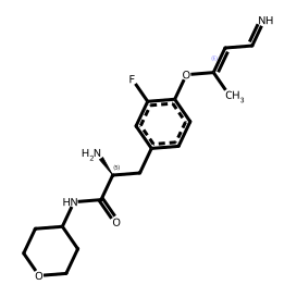 C/C(=C\C=N)Oc1ccc(C[C@H](N)C(=O)NC2CCOCC2)cc1F